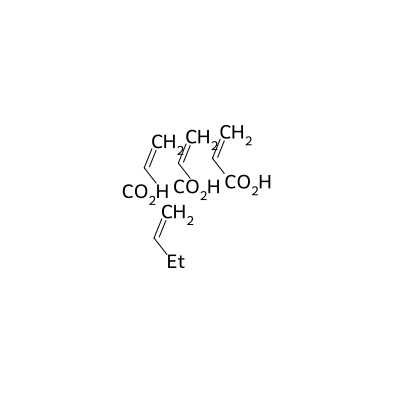 C=CC(=O)O.C=CC(=O)O.C=CC(=O)O.C=CCC